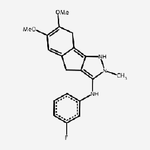 COC1=C(OC)CC2=C3NN(C)C(Nc4cccc(F)c4)=C3CC2=C1